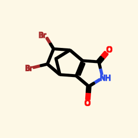 O=C1NC(=O)C2=C1C1CC2C(Br)C1Br